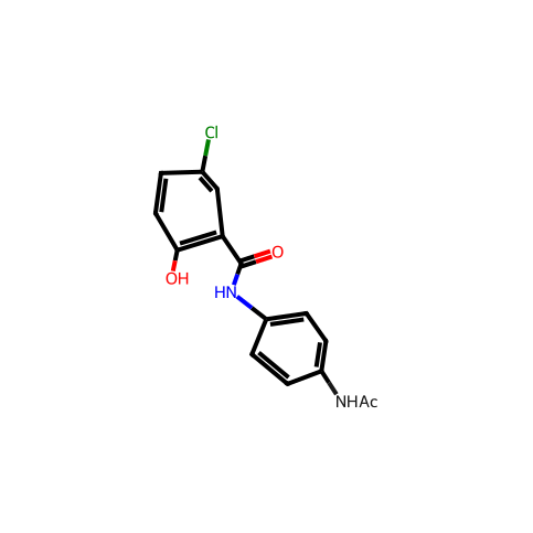 CC(=O)Nc1ccc(NC(=O)c2cc(Cl)ccc2O)cc1